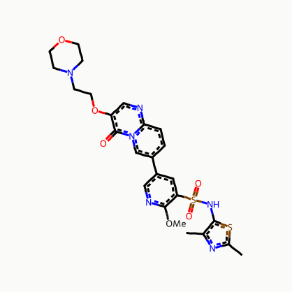 COc1ncc(-c2ccc3ncc(OCCN4CCOCC4)c(=O)n3c2)cc1S(=O)(=O)Nc1sc(C)nc1C